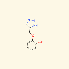 [O]c1ccccc1OCc1cnn[nH]1